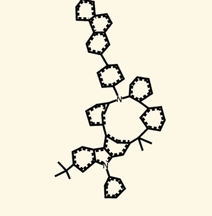 CC(C)(C)c1ccc2c3c4cc(cc3n(-c3ccccc3)c2c1)C(C)(C)c1cccc(c1)-c1ccccc1N(c1ccc(-c2ccc3c(ccc5ccccc53)c2)cc1)c1cccc-4c1